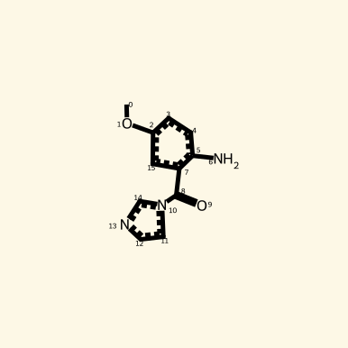 COc1ccc(N)c(C(=O)n2ccnc2)c1